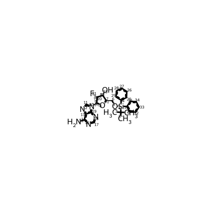 CC(C)(C)[Si](OC[C@H]1O[C@@H](n2cnc3c(N)ncnc32)[C@H](F)[C@@H]1O)(c1ccccc1)c1ccccc1